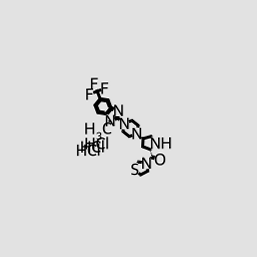 Cl.Cl.Cl.Cn1c(N2CCN([C@@H]3CN[C@H](C(=O)N4CCSC4)C3)CC2)nc2cc(C(F)(F)F)ccc21